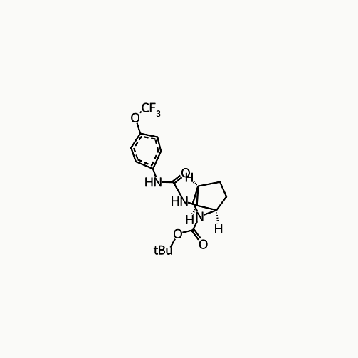 CC(C)(C)OC(=O)N1C[C@H]2CC[C@@H]1[C@H]2NC(=O)Nc1ccc(OC(F)(F)F)cc1